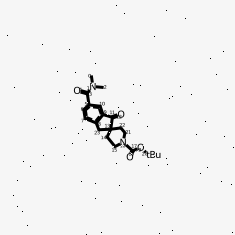 CN(C)C(=O)c1ccc2c(c1)C(=O)C1(CCN(C(=O)OC(C)(C)C)CC1)C2